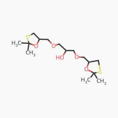 CC1(C)OC(COCC(O)COCC2CSC(C)(C)O2)CS1